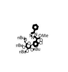 CCCCOC[C@H]1O[C@@H](c2ccc(Cl)c(C(C(=O)OC)c3nncc(-c4ccccc4)n3)c2)[C@H](OCCCC)[C@@H](OCCCC)[C@@H]1OCCCC